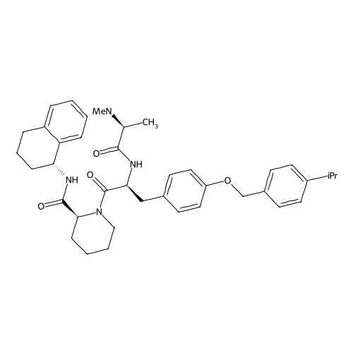 CN[C@@H](C)C(=O)N[C@@H](Cc1ccc(OCc2ccc(C(C)C)cc2)cc1)C(=O)N1CCCC[C@H]1C(=O)N[C@@H]1CCCc2ccccc21